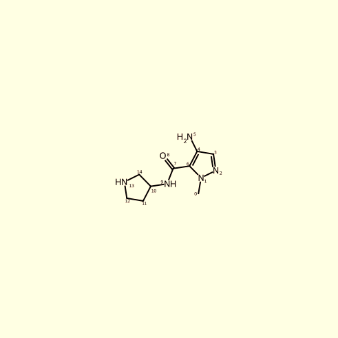 Cn1ncc(N)c1C(=O)NC1CCNC1